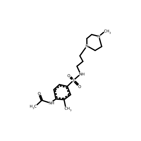 CC(=O)Nc1ccc(S(=O)(=O)NCCCN2CCN(C)CC2)cc1C